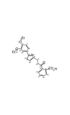 CCOc1ccc(-c2nc(CCC(=O)c3ccccc3C(=O)O)cs2)cc1OCC